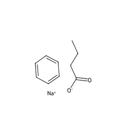 CCCC(=O)[O-].[Na+].c1ccccc1